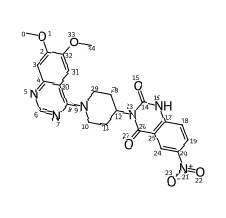 COc1cc2ncnc(N3CCC(n4c(=O)[nH]c5ccc([N+](=O)[O-])cc5c4=O)CC3)c2cc1OC